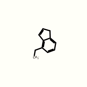 [CH2]Cc1cccc2c1C=CC2